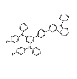 Fc1ccc(N(c2ccccc2)c2cc(-c3ccc(-c4ccc5c(c4)c4ccccc4n5-c4ccccc4)cc3)cc(N(c3ccccc3)c3ccc(F)cc3)c2)cc1